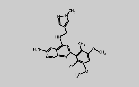 COc1cc(OC)c(Cl)c(-c2nc(NCc3cnn(C)c3)c3cc(N)ncc3n2)c1C